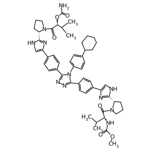 COC(=O)N[C@H](C(=O)N1CCC[C@H]1c1nc(-c2ccc(-c3nnc(-c4ccc(-c5c[nH]c([C@@H]6CCCN6C(=O)[C@@H](OC(N)=O)C(C)C)n5)cc4)n3-c3ccc(C4CCCCC4)cc3)cc2)c[nH]1)C(C)C